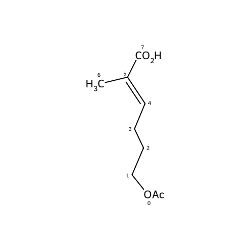 CC(=O)OCCCC=C(C)C(=O)O